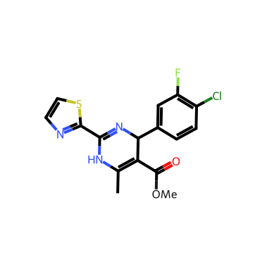 COC(=O)C1=C(C)NC(c2nccs2)=NC1c1ccc(Cl)c(F)c1